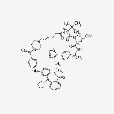 Cc1ncsc1-c1ccc([C@H](C)NC(=O)[C@@H]2C[C@@H](O)CN2C(=O)[C@@H](NC(=O)CCCCCN2CCN(C(=O)c3ccc(Nc4ncc5c(n4)N(C4CCCC4)c4ccccc4C(=O)N5C)cc3)CC2)C(C)(C)C)cc1